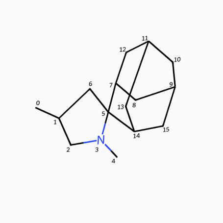 CC1CN(C)C2(C1)C1CC3CC(C1)CC2C3